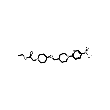 CCOC(=O)CN1CCC(OCC2CCN(c3ccc([N+](=O)[O-])cn3)CC2)CC1